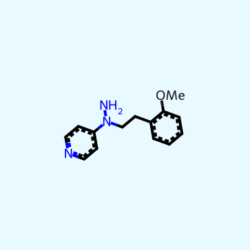 COc1ccccc1CCN(N)c1ccncc1